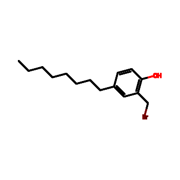 CCCCCCCCc1ccc(O)c(CBr)c1